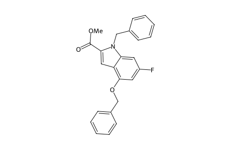 COC(=O)c1cc2c(OCc3ccccc3)cc(F)cc2n1Cc1ccccc1